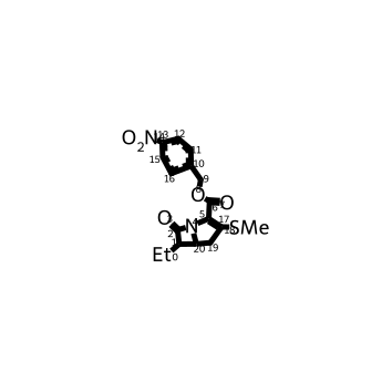 CCC1C(=O)N2C(C(=O)OCc3ccc([N+](=O)[O-])cc3)=C(SC)CC12